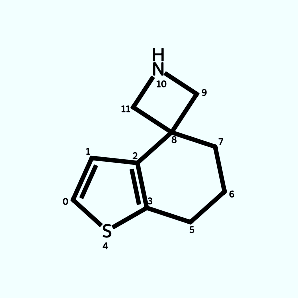 c1cc2c(s1)CCCC21CNC1